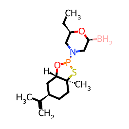 B[C@H]1CN([P@@]2O[C@H]3C[C@H](C(=C)C)CC[C@]3(C)S2)C[C@@H](CC)O1